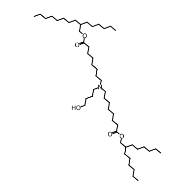 CCCCCCCCC(CCCCCC)COC(=O)CCCCCCCN(CCCCO)CCCCCCCC(=O)OCC(CCCCCC)CCCCCC